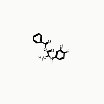 CC(Nc1ccc(F)c(Cl)c1)C(=O)OC(=O)c1ccccc1